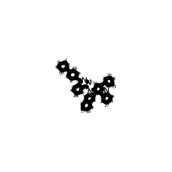 c1ccc(-c2ccc(-c3nnc(-n4c5cc6ccccc6cc5c5c6c7ccccc7n7c8ccccc8c(cc54)c67)c4ccccc34)cc2)cc1